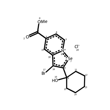 COC(=O)c1cc[n+]2[se]c(C3(O)CCCCC3)c(Br)c2c1.[Cl-]